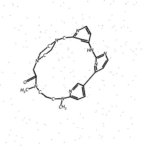 CN1CCCN(C)c2ccc(cn2)-c2ccnc(n2)Nc2ccnc(c2)CN2CCN(CC2)CC1=O